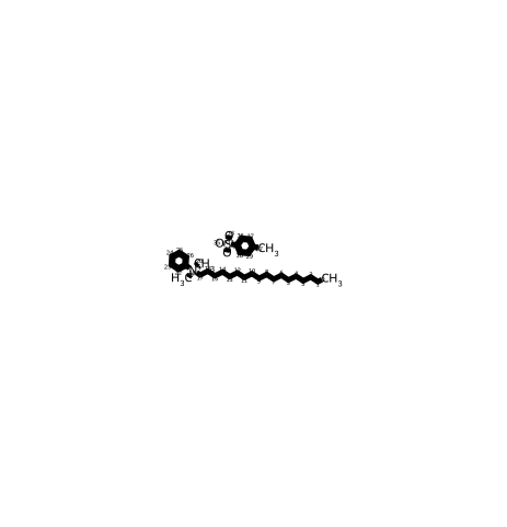 CCCCCCCCCCCCCCCCCC[N+](C)(C)c1ccccc1.Cc1ccc(S(=O)(=O)[O-])cc1